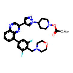 COC(=O)ON1CCC(n2cc(-c3cnc4cccc(-c5cc(F)c(CN6CCOCC6)c(F)c5)c4n3)cn2)CC1